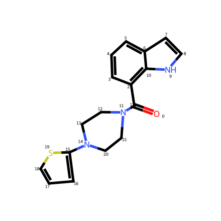 O=C(c1cccc2cc[nH]c12)N1CCN(c2cccs2)CC1